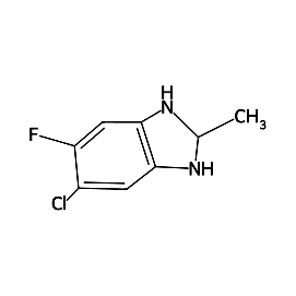 CC1Nc2cc(F)c(Cl)cc2N1